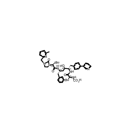 Cc1cccc(CN2CCN([C@H](C(=O)N[C@@H](Cc3ccccc3)C[C@@H](O)[C@H](Cc3ccc(-c4cccnc4)cc3)NC(=O)[C@@H](NC(=O)O)C(C)(C)C)C(C)(C)C)C2=O)n1